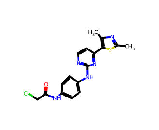 Cc1nc(C)c(-c2ccnc(Nc3ccc(NC(=O)CCl)cc3)n2)s1